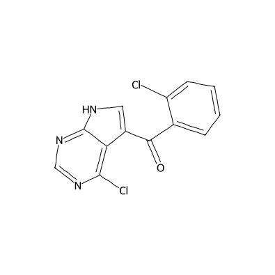 O=C(c1ccccc1Cl)c1c[nH]c2ncnc(Cl)c12